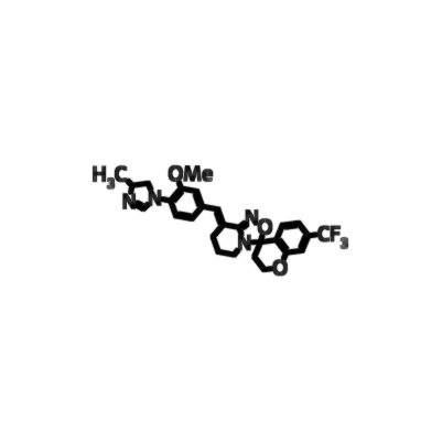 COc1cc(/C=C2\CCCN3C2=NOC32CCOc3cc(C(F)(F)F)ccc32)ccc1N1C=NC(C)C1